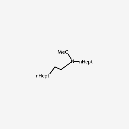 CCCCCCCCCN(CCCCCCC)OC